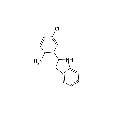 Nc1ccc(Cl)cc1C1Cc2ccccc2N1